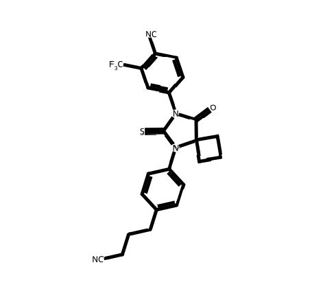 [C-]#[N+]c1ccc(N2C(=O)C3(CCC3)N(c3ccc(CCCC#N)cc3)C2=S)cc1C(F)(F)F